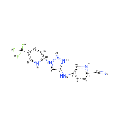 N#Cc1ccc(Nc2cn(-c3ccc(C(F)(F)F)cn3)nn2)cn1